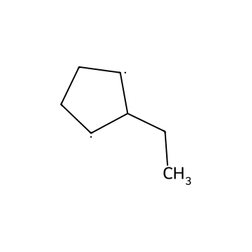 CCC1[CH]CC[CH]1